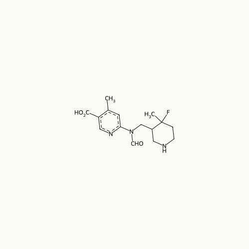 Cc1cc(N(C=O)CC2CNCCC2(C)F)ncc1C(=O)O